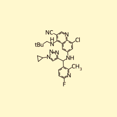 Cc1nc(F)ccc1C(Nc1cc(Cl)c2ncc(C#N)c(NCC(C)(C)C)c2c1)c1cn(C2CC2)nn1